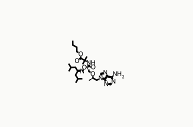 CCCCOC(=O)C(C)(C)NP(=O)(CO[C@H](C)Cn1cnc2c(N)ncnc21)ON=C(CC(C)C)CC(C)C